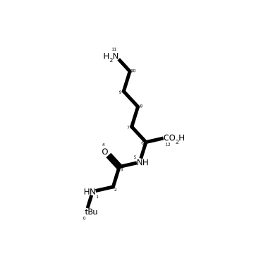 CC(C)(C)NCC(=O)NC(CCCCN)C(=O)O